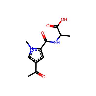 CC(=O)c1cc(C(=O)NC(C)C(=O)O)n(C)c1